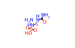 N.NC(=O)NSNS(=O)(=O)O